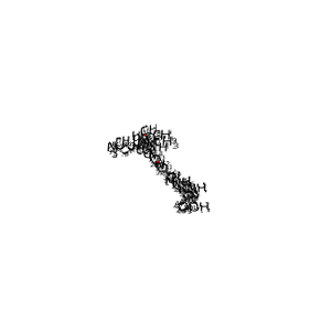 Cc1ncsc1-c1ccc(CNC(=O)[C@@H]2C[C@@H](O)CN2C(=O)[C@@H](NC(=O)N2CCC(N3CCC(c4cnc(N5CCN6c7cc(-c8ccccc8O)nnc7NC[C@H]6C5)nc4)CC3)CC2)C(C)(C)C)cc1